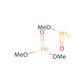 CO[PH2]=O.CO[PH](=O)OC